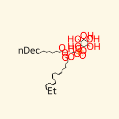 CC/C=C\C/C=C\C/C=C\C/C=C\CCCCC(=O)O[C@H](COC(=O)CCCCCCCCCCCCCCCCC)COP(=O)(O)OC1C(O)C(O)C(O)[C@@H](O)C1O